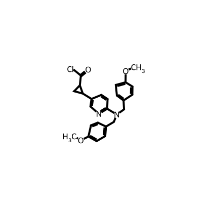 COc1ccc(CN(Cc2ccc(OC)cc2)c2ccc(C3CC3C(=O)Cl)cn2)cc1